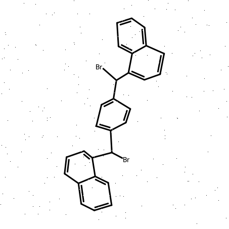 BrC(c1ccc(C(Br)c2cccc3ccccc23)cc1)c1cccc2ccccc12